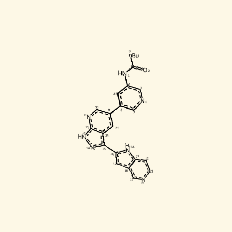 CCCCC(=O)Nc1cncc(-c2cnc3[nH]nc(-c4cc5cnccc5[nH]4)c3c2)c1